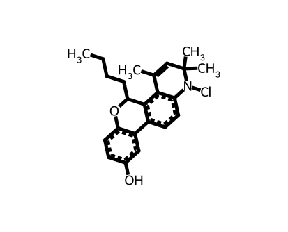 CCCCC1Oc2ccc(O)cc2-c2ccc3c(c21)C(C)=CC(C)(C)N3Cl